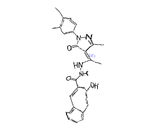 CC1=NN(c2ccc(C)c(C)c2)C(=O)/C1=C(/C)NNC(=O)c1cc2ccccc2cc1O